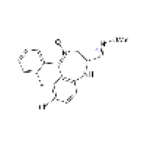 CO/N=C/C1C[N+]([O-])=C(c2ccccc2F)c2cc(Cl)ccc2N1